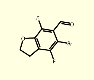 O=Cc1c(F)c2c(c(F)c1Br)CCO2